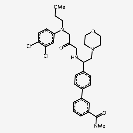 CNC(=O)c1cccc(-c2ccc(C(CN3CCOCC3)NCC(=O)CN(CCOC)c3ccc(Cl)c(Cl)c3)cc2)c1